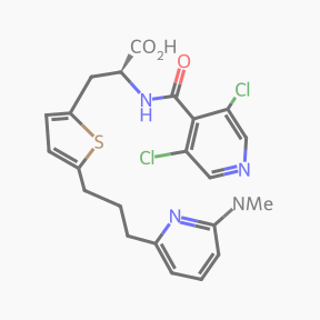 CNc1cccc(CCCc2ccc(C[C@H](NC(=O)c3c(Cl)cncc3Cl)C(=O)O)s2)n1